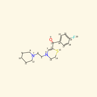 O=C(C1=CN(CCN2CCCCC2)CCS1)c1ccc(F)cc1